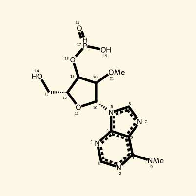 CNc1ncnc2c1ncn2[C@@H]1O[C@H](CO)C(O[PH](=O)O)C1OC